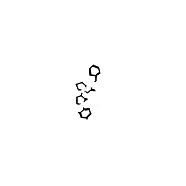 Cc1cc(C#N)cc(C)c1N1CCC([N+]2(CC(=O)OCc3ccccc3)CCCC2)C1=O